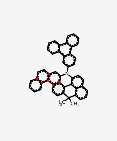 CC1(C)c2ccc(-c3ccccc3)cc2-c2c(N(c3ccc(-c4ccccc4)cc3)c3ccc4c5ccccc5c5ccccc5c4c3)ccc3cccc1c23